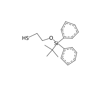 CC(C)(C)[Si](OCCS)(c1ccccc1)c1ccccc1